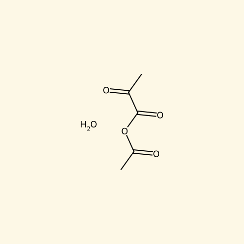 CC(=O)OC(=O)C(C)=O.O